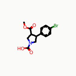 COC(=O)C1CN(C(=O)O)CC1c1ccc(Br)cc1